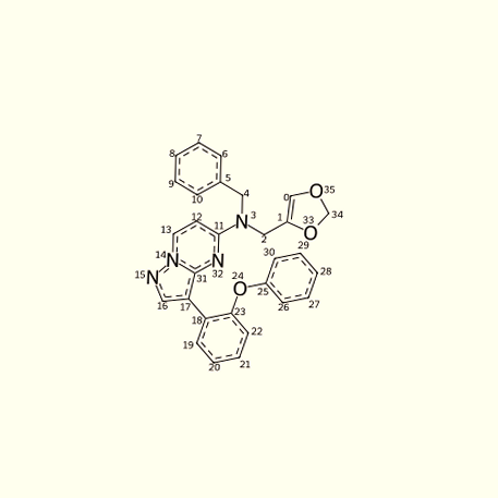 C1=C(CN(Cc2ccccc2)c2ccn3ncc(-c4ccccc4Oc4ccccc4)c3n2)OCO1